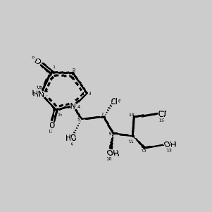 O=c1ccn([C@@H](O)[C@H](Cl)[C@H](O)[C@H](CO)CCl)c(=O)[nH]1